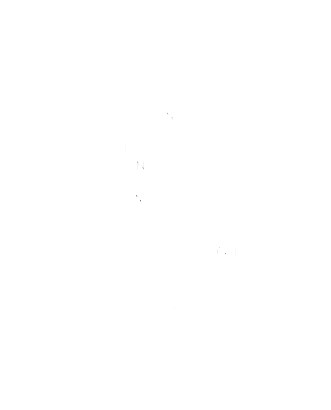 Oc1cc(C(F)(F)F)ccc1-c1nnc(NC2CCCCC2O)c2occc12